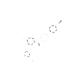 C#Cc1ccc(C2CCN(C(=O)c3ccc(C)c(Nc4nc(CC)n[nH]4)c3)CC2)cc1